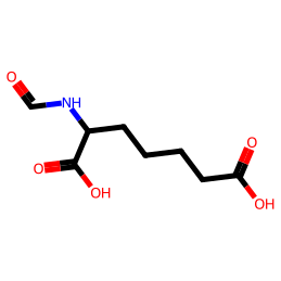 O=CNC(CCCCC(=O)O)C(=O)O